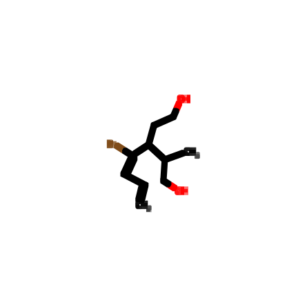 C=C/C=C(/Br)C(CCO)C(C)CO